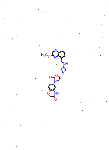 COc1cnc2cccc(CNC3CN(C[C@@H]4CN(c5ccc6c(c5)NC(=O)CO6)C(=O)O4)C3)c2n1